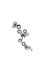 COc1ccc(C2CCCN2Cc2cc(-c3ccc(-c4cccc([SH](=O)=O)c4)s3)n(-c3ccccc3Cl)n2)cc1